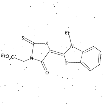 CCOC(=O)CN1C(=O)C(=C2Sc3ccccc3N2CC)SC1=S